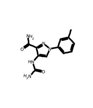 Cc1cccc(-n2cc(NC(N)=O)c(C(N)=O)n2)c1